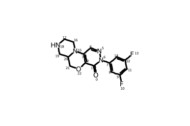 O=c1c2c(cnn1-c1cc(F)cc(F)c1)N1CCNCC1CO2